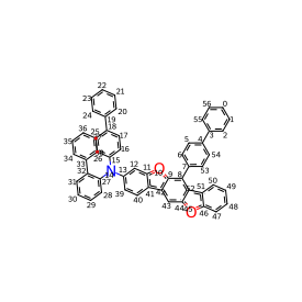 c1ccc(-c2ccc(-c3c4oc5cc(N(c6ccc(-c7ccccc7)cc6)c6ccccc6-c6ccccc6)ccc5c4cc4oc5ccccc5c34)cc2)cc1